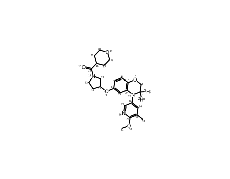 [2H]C1([2H])COc2ccc(OC3CCN(C(=O)C4CCOCC4)C3)cc2N1c1cnc(OC)c(C)c1